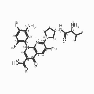 CC(C)[C@H](N)C(=O)N[C@H]1CCN(c2nc3c(cc2F)c(=O)c(C(=O)O)cn3-c2cc(N)c(F)cc2F)C1